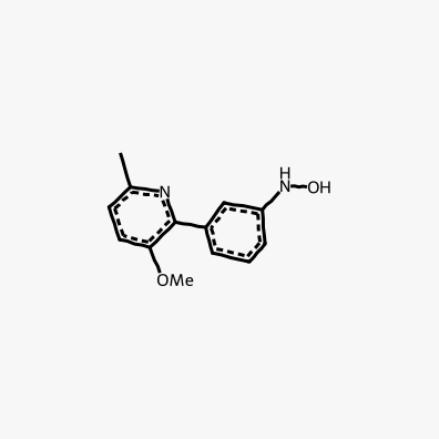 COc1ccc(C)nc1-c1cccc(NO)c1